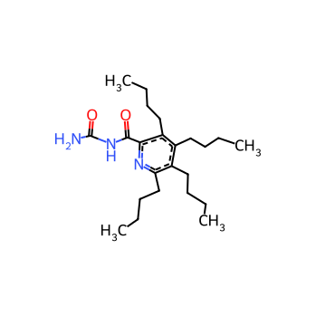 CCCCc1nc(C(=O)NC(N)=O)c(CCCC)c(CCCC)c1CCCC